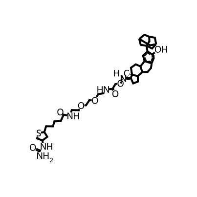 C[C@]12CCC3c4cc(C56CC7CC(CC(C7)C5)C6)c(O)cc4CCC3C1CC/C2=N\OCC(=O)NCCOCCOCCNC(=O)CCCCC1CC(NC(N)=O)CS1